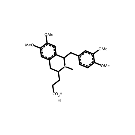 COc1ccc(CC2c3cc(OC)c(OC)cc3CC(CCC(=O)O)N2C)cc1OC.I